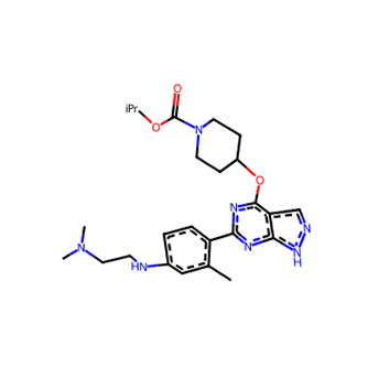 Cc1cc(NCCN(C)C)ccc1-c1nc(OC2CCN(C(=O)OC(C)C)CC2)c2cn[nH]c2n1